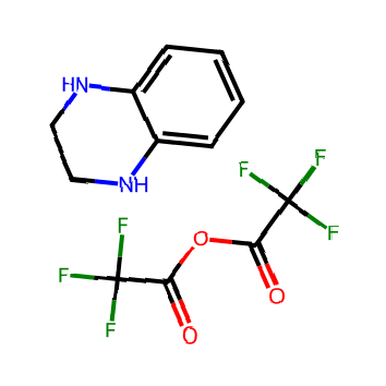 O=C(OC(=O)C(F)(F)F)C(F)(F)F.c1ccc2c(c1)NCCN2